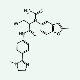 Cc1cc2cc(N(C(N)=S)C(CC(C)C)C(=O)Nc3ccc(C4=NCCN4C)cc3)ccc2o1